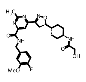 COc1cc(CNC(=O)c2cc(C3=NO[C@@H]([C@H]4CC[C@H](NC(=O)CO)CC4)C3)nc(C)n2)ccc1F